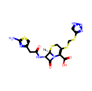 Nc1nc(CC(=O)N[C@@H]2C(=O)N3C(C(=O)O)=C(SCSc4c[nH]nn4)CS[C@H]23)cs1